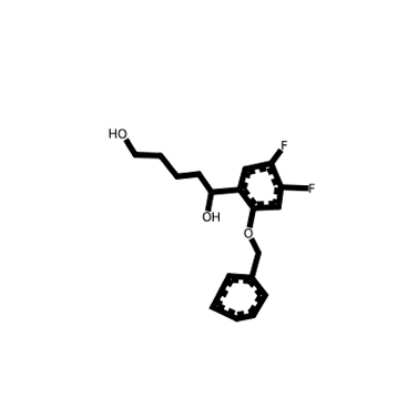 OCCCCC(O)c1cc(F)c(F)cc1OCc1ccccc1